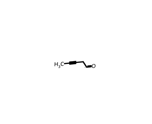 CC#CC[C]=O